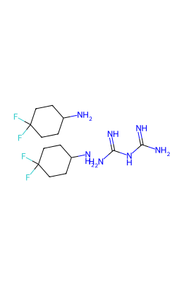 N=C(N)NC(=N)N.NC1CCC(F)(F)CC1.NC1CCC(F)(F)CC1